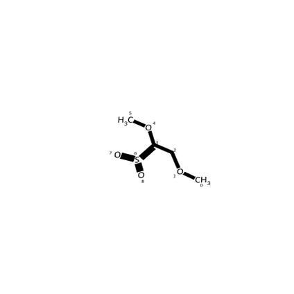 COCC(OC)=S(=O)=O